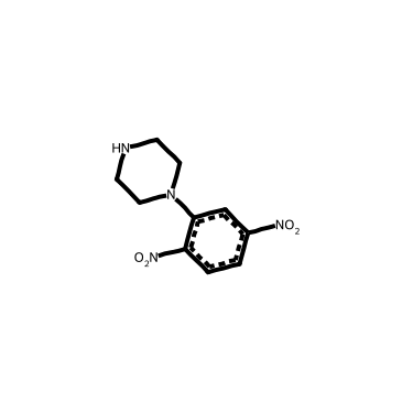 O=[N+]([O-])c1ccc([N+](=O)[O-])c(N2CCNCC2)c1